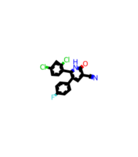 N#Cc1cc(-c2ccc(F)cc2)c(-c2ccc(Cl)cc2Cl)[nH]c1=O